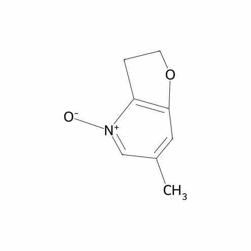 Cc1cc2c([n+]([O-])c1)CCO2